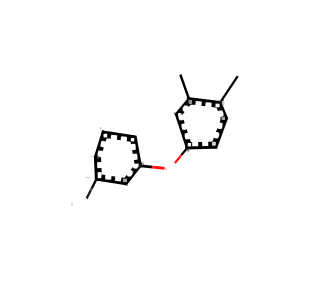 Cc1ccc(Oc2cccc(C=O)c2)cc1C